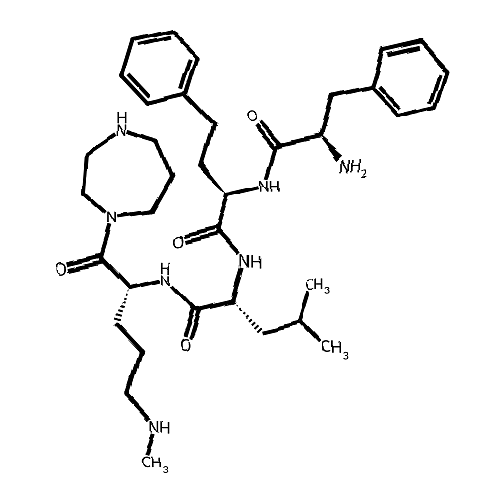 CNCCC[C@@H](NC(=O)[C@@H](CC(C)C)NC(=O)[C@@H](CCc1ccccc1)NC(=O)[C@H](N)Cc1ccccc1)C(=O)N1CCCNCC1